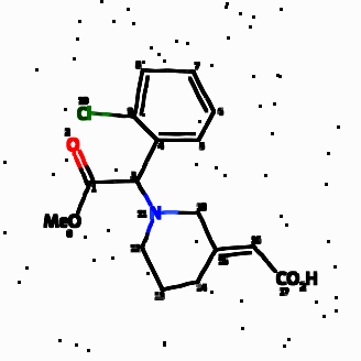 COC(=O)C(c1ccccc1Cl)N1CCC/C(=C\C(=O)O)C1